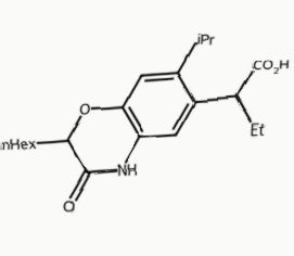 CCCCCCC1Oc2cc(C(C)C)c(C(CC)C(=O)O)cc2NC1=O